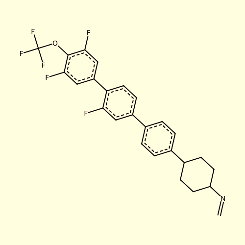 C=NC1CCC(c2ccc(-c3ccc(-c4cc(F)c(OC(F)(F)F)c(F)c4)c(F)c3)cc2)CC1